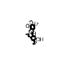 COc1cc2c(cc1O)[C@@H]1Cc3cc(OC)c(OC)c(OC)c3CN1[C@H](C)C2